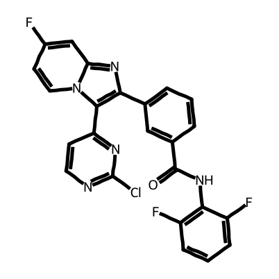 O=C(Nc1c(F)cccc1F)c1cccc(-c2nc3cc(F)ccn3c2-c2ccnc(Cl)n2)c1